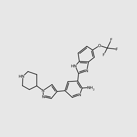 Nc1ncc(-c2cnn(C3CCNCC3)c2)cc1-c1nc2cc(OC(F)(F)F)ccc2[nH]1